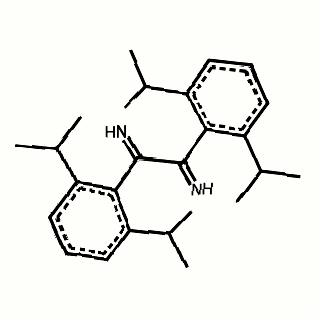 CC(C)c1cccc(C(C)C)c1C(=N)C(=N)c1c(C(C)C)cccc1C(C)C